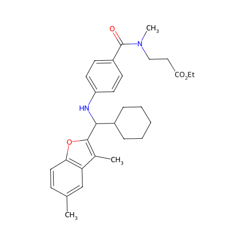 CCOC(=O)CCN(C)C(=O)c1ccc(NC(c2oc3ccc(C)cc3c2C)C2CCCCC2)cc1